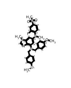 COc1ccc(CN(Cc2ccc(OC)cc2)c2cc(N(C)c3ccc(S(C)(=O)=O)cc3F)cc3c2ncn3C)cc1